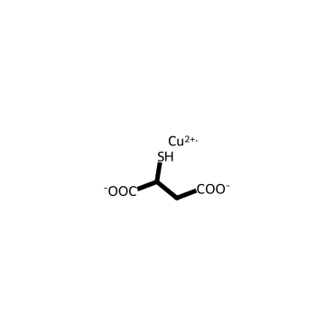 O=C([O-])CC(S)C(=O)[O-].[Cu+2]